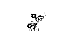 CC(C)C(O)c1nc(Cn2nc(-c3ccc(Cl)cc3)n(C[C@H](O)C(F)(F)F)c2=O)nn1-c1ccccc1Cl